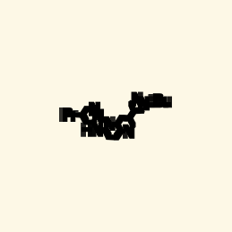 CC(C)c1cnnc(Nc2ccc3ncc(-c4cnn(C(C)(C)C)c4)cc3n2)c1